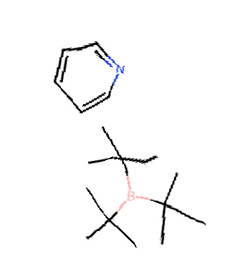 CC(C)(C)B(C(C)(C)C)C(C)(C)C.c1ccncc1